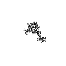 CC(=O)NC1C(CNC(=O)CCC(=O)NS)OC(COC(C)=O)C(OC(C)=O)C1OC(C)=O